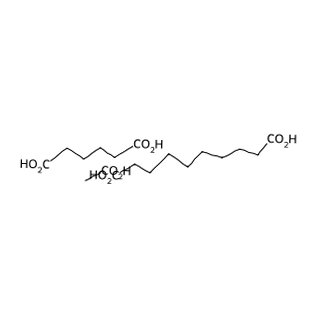 CC(=O)O.O=C(O)CCCCC(=O)O.O=C(O)CCCCCCCCC(=O)O